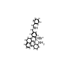 Br.N[C@@H]1CCCC[C@H]1N(Cc1ccc(CNCc2ccccn2)cc1)C1CCCc2cccnc21